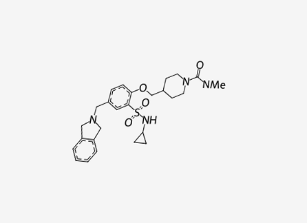 CNC(=O)N1CCC(COc2ccc(CN3Cc4ccccc4C3)cc2S(=O)(=O)NC2CC2)CC1